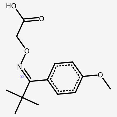 COc1ccc(/C(=N\OCC(=O)O)C(C)(C)C)cc1